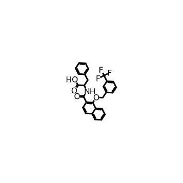 O=C(NC(Cc1ccccc1)C(=O)O)c1ccc2ccccc2c1OCc1cccc(C(F)(F)F)c1